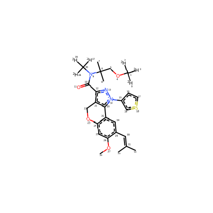 [2H]C([2H])([2H])OCC(C)(C)N(C(=O)c1nn(-c2ccsc2)c2c1COc1cc(OC)c(C=C(C)C)cc1-2)C([2H])([2H])[2H]